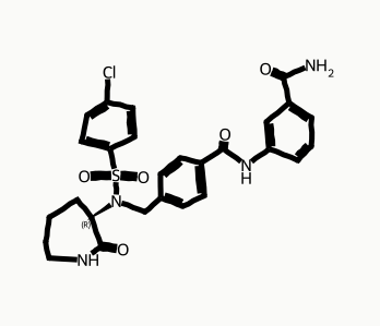 NC(=O)c1cccc(NC(=O)c2ccc(CN([C@@H]3CCCCNC3=O)S(=O)(=O)c3ccc(Cl)cc3)cc2)c1